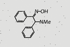 CNC(C(=NO)c1ccccc1)c1ccccc1